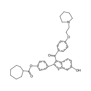 O=C(c1ccc(OCCN2CCCCC2)cc1)c1c(-c2ccc(OC(=O)C3CCCCCC3)cc2)sc2cc(O)ccc12